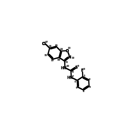 Fc1ccccc1NC(=S)Nc1noc2cc(Cl)ccc12